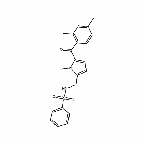 Cc1ccc(C(=O)c2ccc(CNS(=O)(=O)c3ccccc3)n2C)c(C)c1